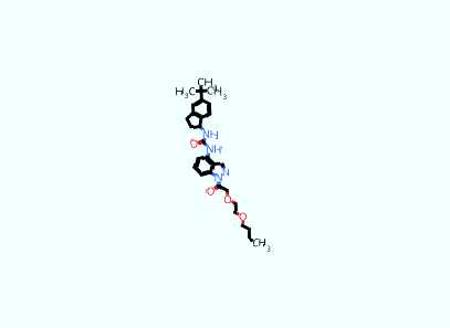 CCCCOCCOCC(=O)n1ncc2c(NC(=O)NC3CCc4cc(C(C)(C)C)ccc43)cccc21